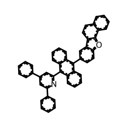 c1ccc(-c2cc(-c3ccccc3)nc(-c3c4ccccc4c(-c4ccc5oc6c7ccccc7ccc6c5c4)c4ccccc34)c2)cc1